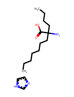 CCCCCCCC(N)(CCCC)C(=O)O.c1c[nH]cn1